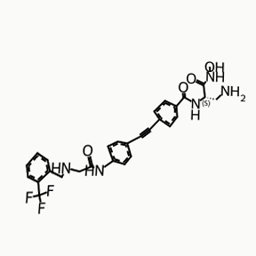 NC[C@H](NC(=O)c1ccc(C#Cc2ccc(NC(=O)CNCc3ccccc3C(F)(F)F)cc2)cc1)C(=O)NO